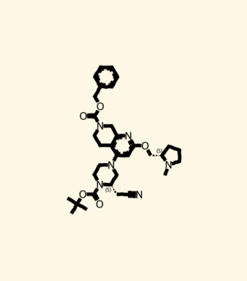 CN1CCC[C@H]1COc1cc(N2CCN(C(=O)OC(C)(C)C)[C@@H](CC#N)C2)c2c(n1)CN(C(=O)OCc1ccccc1)CC2